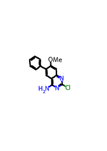 COc1cc2nc(Cl)nc(N)c2cc1-c1ccccc1